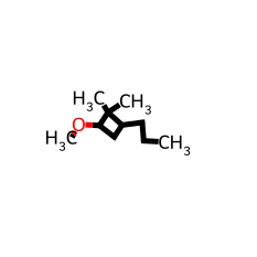 CCCC1CC(OC)C1(C)C